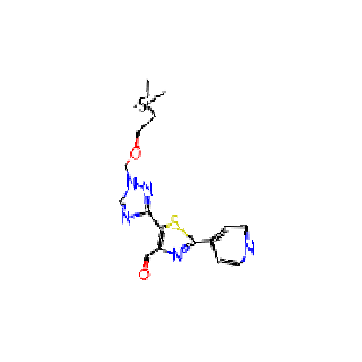 C[Si](C)(C)CCOCn1cnc(-c2sc(-c3ccncc3)nc2C=O)n1